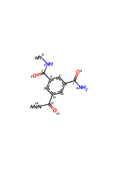 CCCNC(=O)c1cc(C(N)=O)cc(C(=O)NC)c1